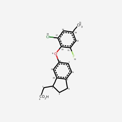 O=C(O)CC1CCc2ccc(Oc3c(F)cc(C(F)(F)F)cc3Cl)cc21